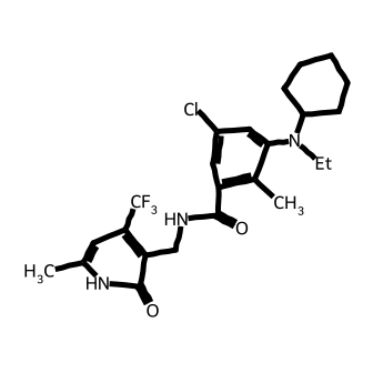 CCN(c1cc(Cl)cc(C(=O)NCc2c(C(F)(F)F)cc(C)[nH]c2=O)c1C)C1CCCCC1